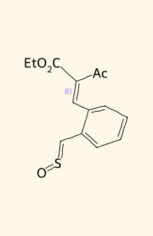 CCOC(=O)/C(=C/c1ccccc1C=S=O)C(C)=O